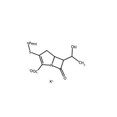 CCCCCSC1=C(C(=O)[O-])N2C(=O)C(C(C)O)C2C1.[K+]